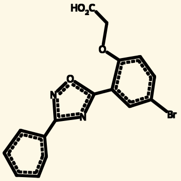 O=C(O)COc1ccc(Br)cc1-c1nc(-c2ccccc2)no1